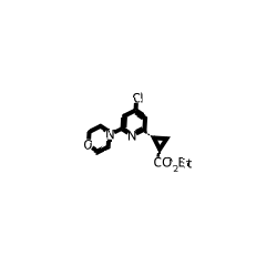 CCOC(=O)[C@@H]1C[C@H]1c1cc(Cl)cc(N2CCOCC2)n1